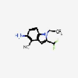 N#Cc1c(N)ccc2c1cc(C(F)F)n2CC(F)(F)F